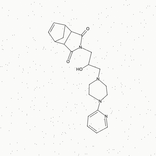 O=C1C2C3C=CC(C3)C2C(=O)N1CC(O)CN1CCN(c2ccccn2)CC1